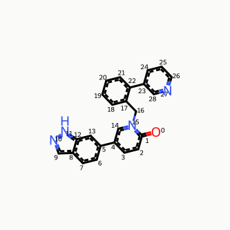 O=c1ccc(-c2ccc3cn[nH]c3c2)cn1Cc1ccccc1-c1cccnc1